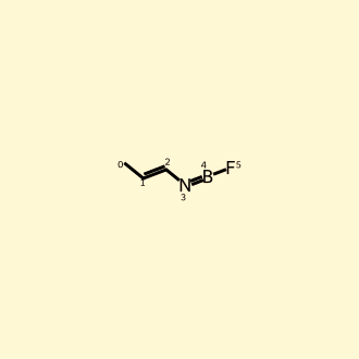 CC=CN=BF